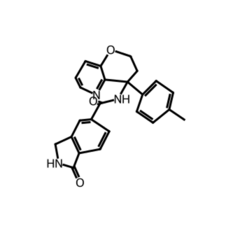 Cc1ccc(C2(NC(=O)c3ccc4c(c3)CNC4=O)CCOc3cccnc32)cc1